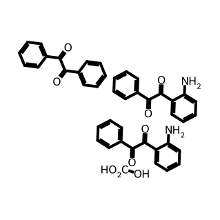 Nc1ccccc1C(=O)C(=O)c1ccccc1.Nc1ccccc1C(=O)C(=O)c1ccccc1.O=C(C(=O)c1ccccc1)c1ccccc1.O=C(O)O